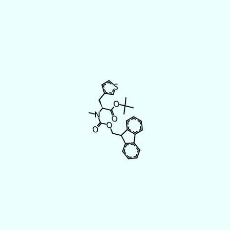 CN(C(=O)OCC1c2ccccc2-c2ccccc21)[C@@H](Cc1ccsc1)C(=O)OC(C)(C)C